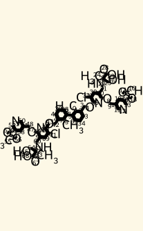 Cc1c(COc2nc(OCc3cncc(S(C)(=O)=O)c3)c(CNC(C)(CO)C(=O)O)cc2Cl)cccc1-c1cccc(COc2nc(OCc3cncc(S(C)(=O)=O)c3)c(CNC(C)(CO)C(=O)O)cc2Cl)c1C